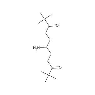 CC(C)(C)C(=O)CCC(N)CCC(=O)C(C)(C)C